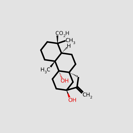 C=C1C[C@@]23CC[C@@H]4[C@](C)(C(=O)O)CCC[C@@]4(C)[C@]2(O)CC[C@]1(O)C3